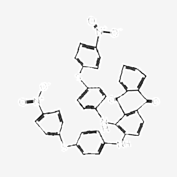 O=C1c2ccccc2C(=O)c2c1ccc(Nc1ccc(Sc3ccc([N+](=O)[O-])cc3)cc1)c2Nc1ccc(Sc2ccc([N+](=O)[O-])cc2)cc1